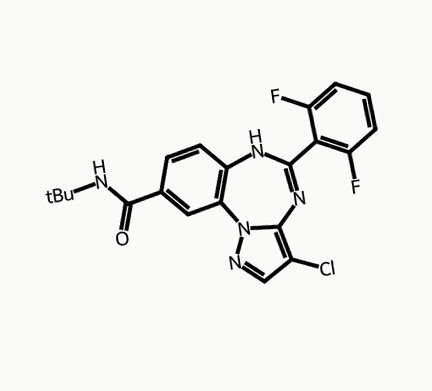 CC(C)(C)NC(=O)c1ccc2c(c1)-n1ncc(Cl)c1N=C(c1c(F)cccc1F)N2